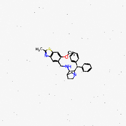 COc1cc2sc(C)nc2cc1CNC1C2CCN(C2)C1C(c1ccccc1)c1ccccc1